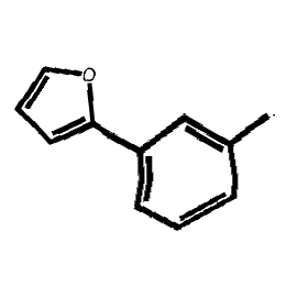 [CH2]c1cccc(-c2ccco2)c1